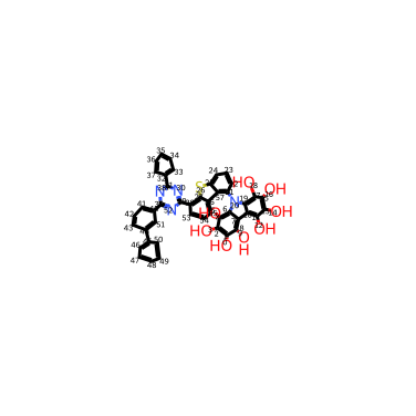 Oc1c(O)c(O)c2c(c1O)c1c(O)c(O)c(O)c(O)c1n2-c1cccc2sc3c(-c4nc(-c5ccccc5)nc(-c5cccc(-c6ccccc6)c5)n4)cccc3c12